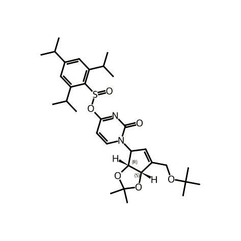 CC(C)c1cc(C(C)C)c(S(=O)Oc2ccn(C3C=C(COC(C)(C)C)[C@@H]4OC(C)(C)O[C@H]34)c(=O)n2)c(C(C)C)c1